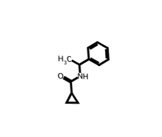 CC(NC(=O)C1CC1)c1ccccc1